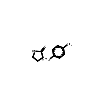 O=C1NCC[C@H]1Oc1ccc(C(F)(F)F)cc1